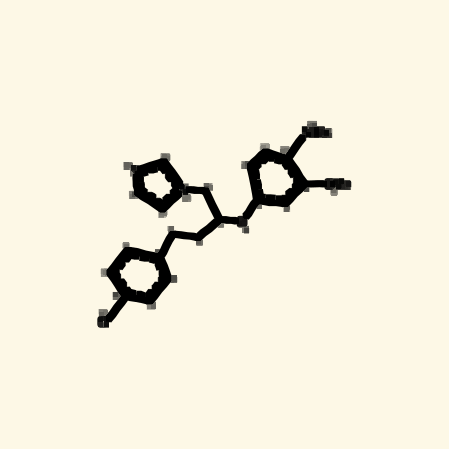 COc1cc(OC(CCc2ccc(Cl)cc2)Cn2ccnc2)ccc1NC(C)=O